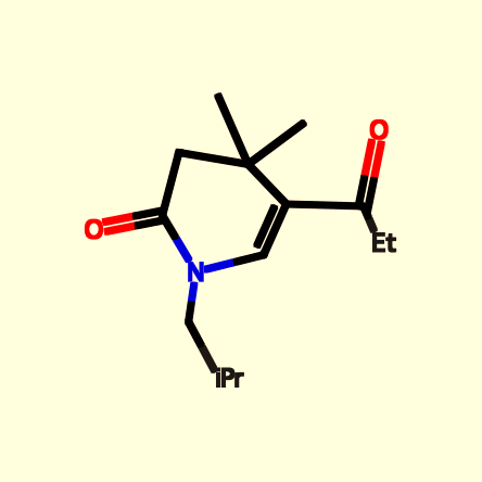 CCC(=O)C1=CN(CC(C)C)C(=O)CC1(C)C